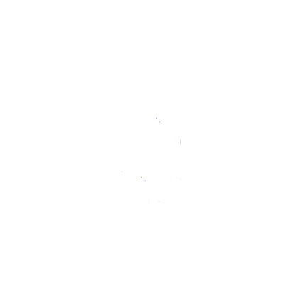 CCCCN(C)C(=S)[S-].CCCCN(C)C(=S)[S-].[Ca+2]